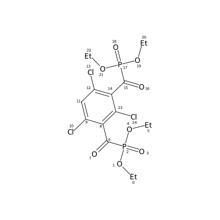 CCOP(=O)(OCC)C(=O)c1c(Cl)cc(Cl)c(C(=O)P(=O)(OCC)OCC)c1Cl